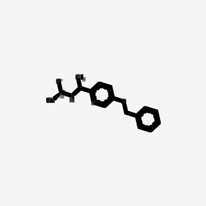 CC(N[S@+]([O-])C(C)(C)C)c1ccc(OCc2ccccc2)cn1